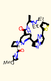 CCN(CC)C(C)CNC(=O)c1cc(-c2cnn3ccc(-c4cccs4)nc23)nc(N2CC[C@H]2C(=O)N2CC(OC)C2)c1